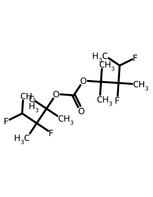 CC(F)C(C)(F)C(C)(C)OC(=O)OC(C)(C)C(C)(F)C(C)F